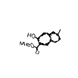 COC(=O)c1cc2ccc(C)cc2cc1O